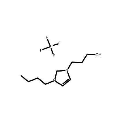 CCCCN1C=CN(CCCO)C1.F[B-](F)(F)F